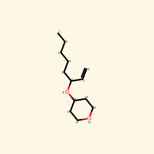 C=CC(CCCCC)OC1CCOCC1